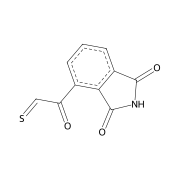 O=C(C=S)c1cccc2c1C(=O)NC2=O